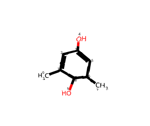 CC1=CC(O)=CC(C)C1O